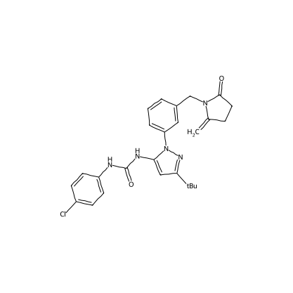 C=C1CCC(=O)N1Cc1cccc(-n2nc(C(C)(C)C)cc2NC(=O)Nc2ccc(Cl)cc2)c1